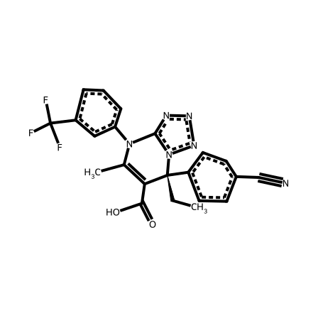 CC[C@@]1(c2ccc(C#N)cc2)C(C(=O)O)=C(C)N(c2cccc(C(F)(F)F)c2)c2nnnn21